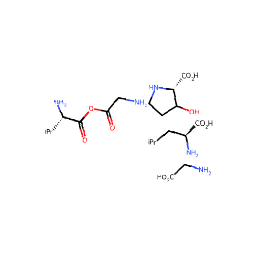 CC(C)C[C@H](N)C(=O)O.CC(C)[C@H](N)C(=O)OC(=O)CN.NCC(=O)O.O=C(O)[C@H]1NCCC1O